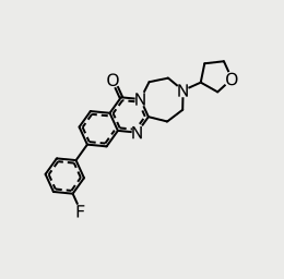 O=c1c2ccc(-c3cccc(F)c3)cc2nc2n1CCN(C1CCOC1)CC2